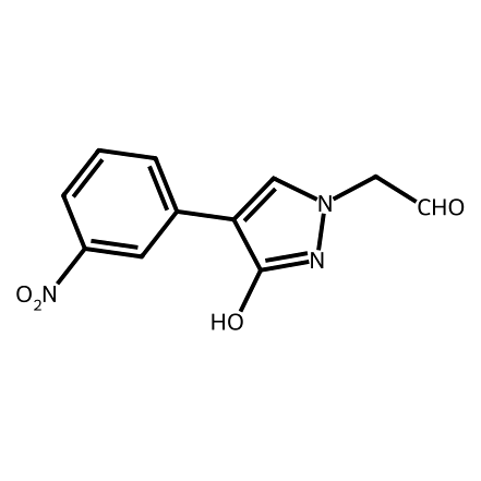 O=CCn1cc(-c2cccc([N+](=O)[O-])c2)c(O)n1